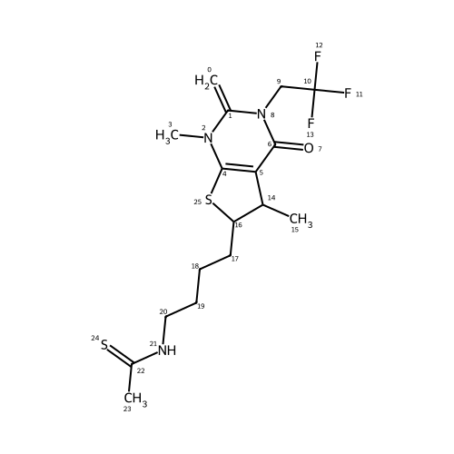 C=C1N(C)C2=C(C(=O)N1CC(F)(F)F)C(C)C(CCCCNC(C)=S)S2